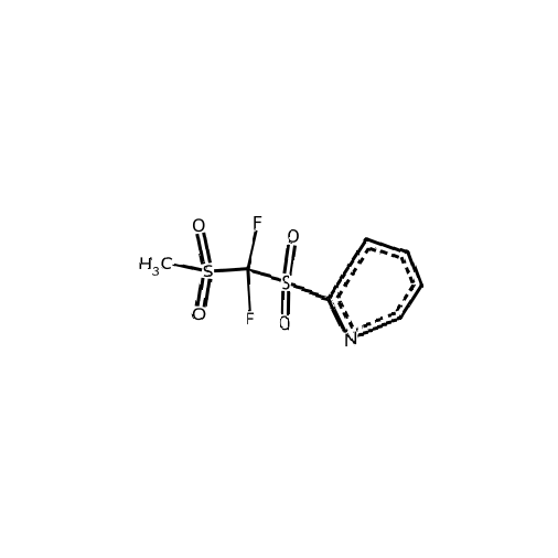 CS(=O)(=O)C(F)(F)S(=O)(=O)c1ccccn1